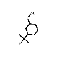 COC1CCCC(C(F)(F)F)C1